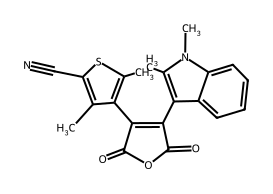 Cc1sc(C#N)c(C)c1C1=C(c2c(C)n(C)c3ccccc23)C(=O)OC1=O